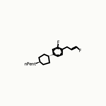 CCCCC[C@H]1CC[C@H](c2ccc(CC=CF)c(F)c2)CC1